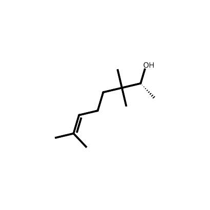 CC(C)=CCCC(C)(C)[C@@H](C)O